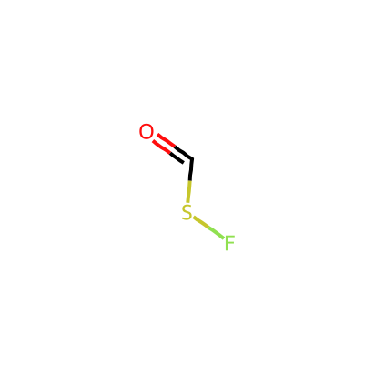 O=CSF